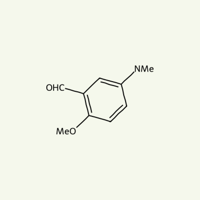 CNc1ccc(OC)c(C=O)c1